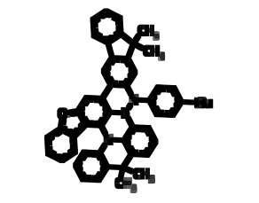 CC(C)(C)c1ccc(N2B3c4cccc5c4N(c4ccccc4C5(C)C)c4c3c(cc3oc5ccccc5c43)-c3cc4c(cc32)C(C)(C)c2ccccc2-4)cc1